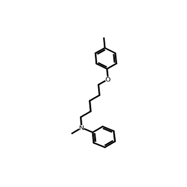 Cc1ccc(OCCCCCN(C)c2ccccc2)cc1